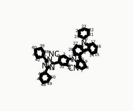 N#Cc1cc(-n2c3ccccc3c3c4c5ccccc5n(-c5ccccc5)c4ccc32)c(C#N)cc1-c1nc(-c2ccccc2)nc(-c2ccccc2)n1